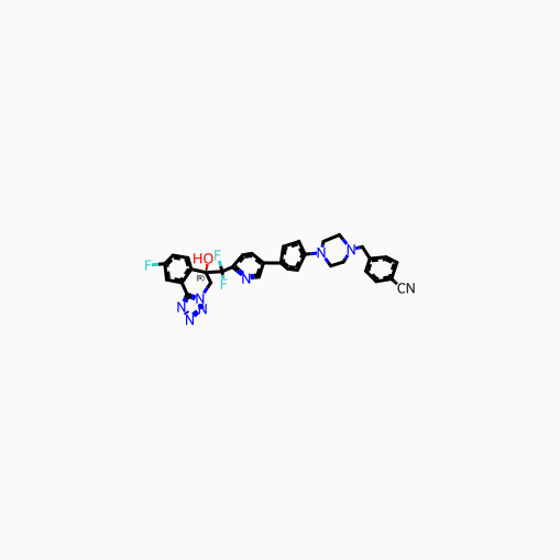 N#Cc1ccc(CN2CCN(c3ccc(-c4ccc(C(F)(F)[C@]5(O)Cn6nnnc6-c6cc(F)ccc65)nc4)cc3)CC2)cc1